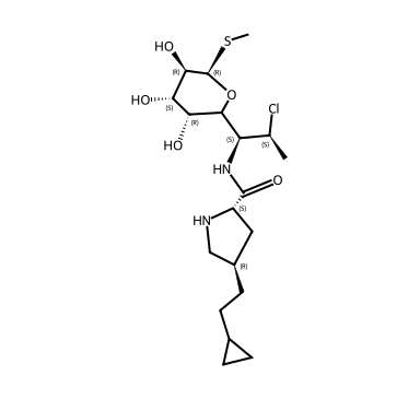 CS[C@H]1OC([C@H](NC(=O)[C@@H]2C[C@@H](CCC3CC3)CN2)[C@H](C)Cl)[C@H](O)[C@H](O)[C@H]1O